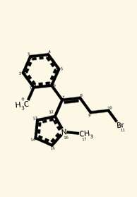 Cc1ccccc1C(=CCCBr)c1cccn1C